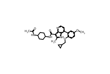 COc1ccc(OCC2CC2)c(-c2ccnc3c(C(=O)NC4CCC(NC(C)=O)CC4)c(C)[nH]c23)c1